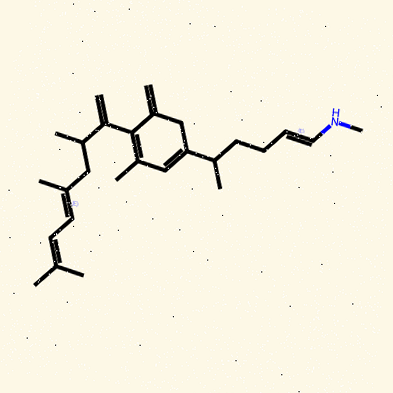 C=C1CC(C(C)CC/C=C/NC)=CC(C)=C1C(=C)C(C)C/C(C)=C/C=C(C)C